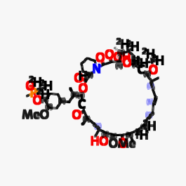 [2H]C([2H])([2H])O[C@H]1C[C@@H]2CC([2H])([2H])[C@@H](C)[C@@](O)(O2)C(=O)C(=O)N2CCCC[C@H]2C(=O)O[C@H]([C@H](C)C[C@@H]2CC[C@@H](OP(C)(=O)C([2H])([2H])[2H])[C@H](OC)C2)CC(=O)[C@H](C)/C=C(\C)[C@@H](O)[C@@H](OC)C(=O)[C@H](C)C([2H])(C)[C@]([2H])(C)/C=C/C=C/C=C/1C